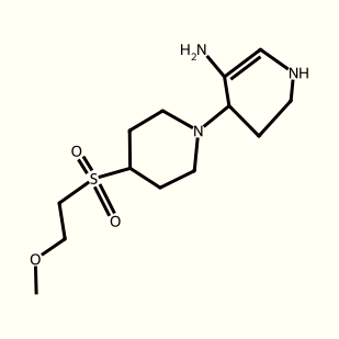 COCCS(=O)(=O)C1CCN(C2CCNC=C2N)CC1